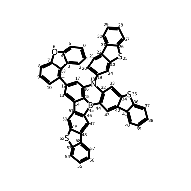 c1ccc2c(c1)oc1cccc(-c3cc4c5c(c3)N(c3ccc6c(c3)sc3ccccc36)c3cc6sc7ccccc7c6cc3B5c3cc5c(cc3-4)sc3ccccc35)c12